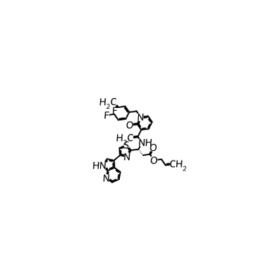 C=CCOC(=O)C[C@@H](NC(=C)c1cccn(CC(/C=C\CF)=C/C(=C)F)c1=O)c1nc(-c2c[nH]c3ncccc23)cs1